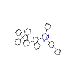 c1ccc(-c2ccc(-c3nc(-c4ccccc4)cc(-c4ccc(-c5cccc6c5-c5ccccc5C6(c5ccccc5)c5ccccc5)c5ccccc45)n3)cc2)cc1